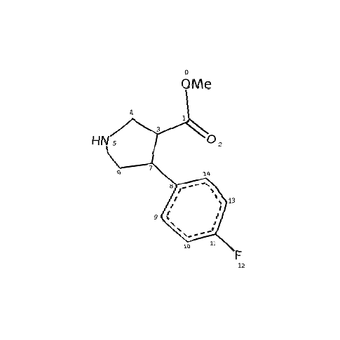 COC(=O)C1CNCC1c1ccc(F)cc1